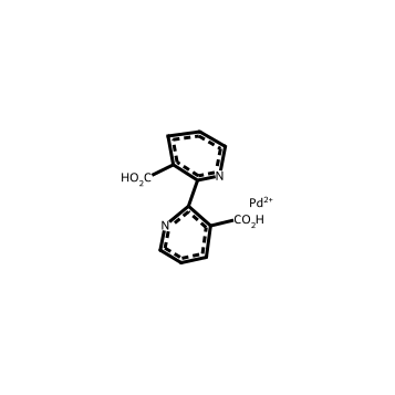 O=C(O)c1cccnc1-c1ncccc1C(=O)O.[Pd+2]